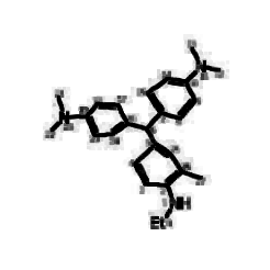 CCNc1ccc(C(c2ccc(N(C)C)cc2)c2ccc(N(C)C)cc2)cc1C